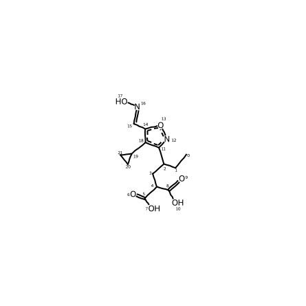 CCC(CC(C(=O)O)C(=O)O)c1noc(C=NO)c1C1CC1